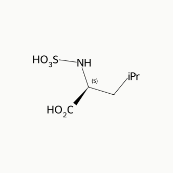 CC(C)C[C@H](NS(=O)(=O)O)C(=O)O